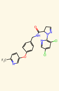 O=C(NCc1ccc(Oc2ccc(C(F)(F)F)nc2)cc1)C1CC=NN1c1ncc(Cl)cc1Cl